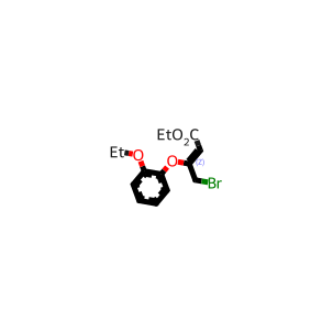 CCOC(=O)/C=C(/CBr)Oc1ccccc1OCC